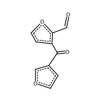 O=[C]c1occc1C(=O)c1ccoc1